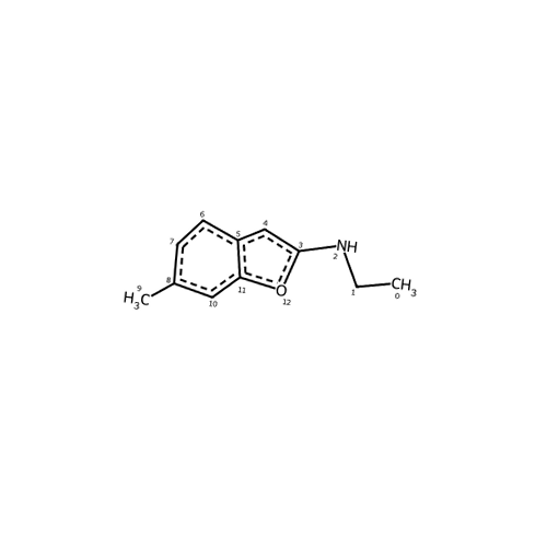 CCNc1cc2ccc(C)cc2o1